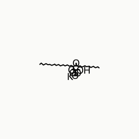 CCCCCCCCCCCCCCCCC(C(=O)CCCCCCCCCCC)C(=O)C(CO)S(=O)(=O)[O-].[K+]